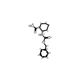 O=C(N[C@@H]1CCCC[C@@H]1C(=O)O)OCc1ccccc1